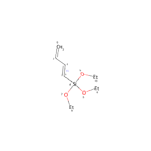 C=C/C=C/[Si](OCC)(OCC)OCC